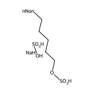 CCCCCCCCCCCCCCOS(=O)(=O)O.O=S(=O)(O)O.[NaH]